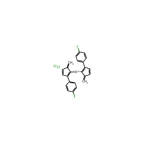 C=C1C=CC(c2ccc(F)cc2)=[C]1[Zr+2][C]1=C(c2ccc(F)cc2)C=CC1=C.[Cl-].[Cl-]